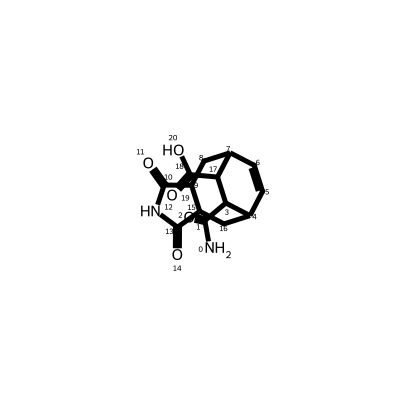 NC(=O)C1C2C=CC(CC3C(=O)NC(=O)C3C2)C1C(=O)O